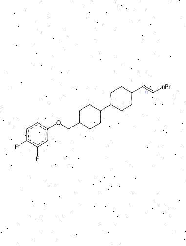 CCC/C=C/C1CCC(C2CCC(COc3ccc(F)c(F)c3)CC2)CC1